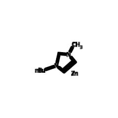 CCCCN1C=CN(C)C1.[Zn]